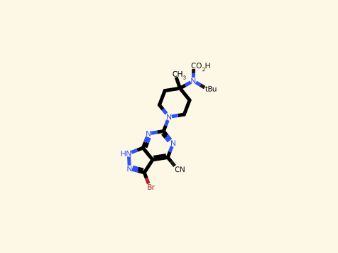 CC(C)(C)N(C(=O)O)C1(C)CCN(c2nc(C#N)c3c(Br)n[nH]c3n2)CC1